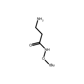 CC(C)(C)ONC(=O)CCN